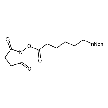 CCCCCCCCCCCCCCC(=O)ON1C(=O)CCC1=O